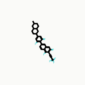 CC1CCC2CC(c3cc(F)c(-c4ccc5c(F)c(C#CC(F)(F)F)c(F)cc5c4)c(F)c3)CCC2C1